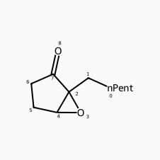 CCCCCCC12OC1CCC2=O